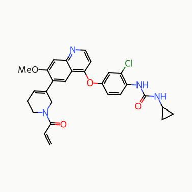 C=CC(=O)N1CCC=C(c2cc3c(Oc4ccc(NC(=O)NC5CC5)c(Cl)c4)ccnc3cc2OC)C1